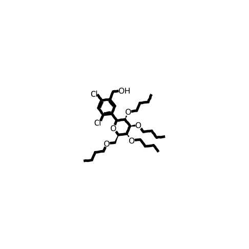 CCCCOC[C@H]1OC(c2cc(CO)c(Cl)cc2Cl)[C@H](OCCCC)[C@@H](OCCCC)[C@@H]1OCCCC